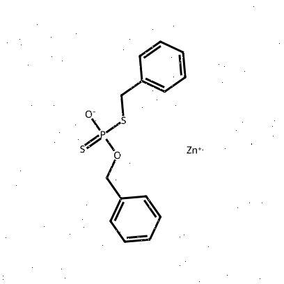 [O-]P(=S)(OCc1ccccc1)SCc1ccccc1.[Zn+]